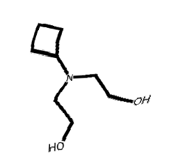 OCCN(CCO)C1CCC1